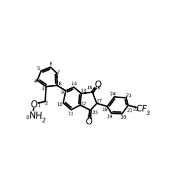 NOCc1ccccc1-c1ccc2c(c1)C(=O)C(c1ccc(C(F)(F)F)cc1)C2=O